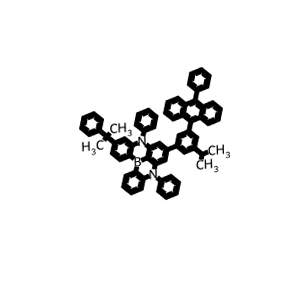 CC(C)c1cc(-c2cc3c4c(c2)N(c2ccccc2)c2cc(C(C)(C)c5ccccc5)ccc2B4c2ccccc2N3c2ccccc2)cc(-c2c3ccccc3c(-c3ccccc3)c3ccccc23)c1